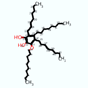 CCCCCCCCCCOc1c(O)c(O)c(CCCCCCCC)c(CCCCCCCC)c1CCCCCCCC